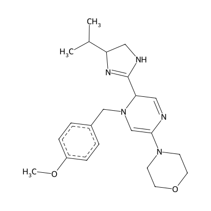 COc1ccc(CN2C=C(N3CCOCC3)N=CC2C2=NC(C(C)C)CN2)cc1